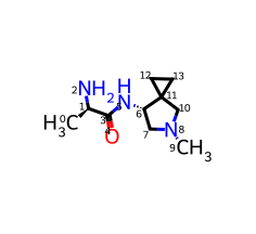 C[C@@H](N)C(=O)N[C@H]1CN(C)CC12CC2